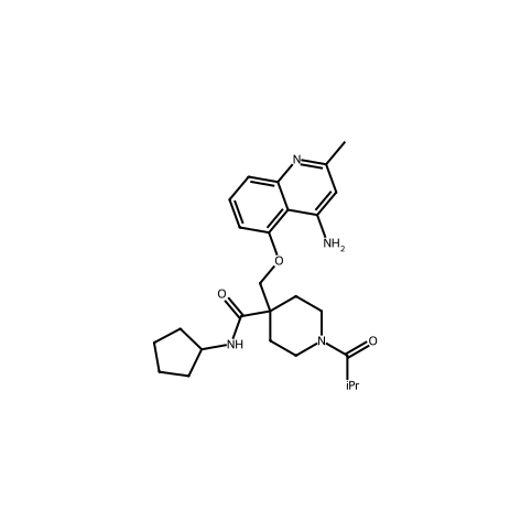 Cc1cc(N)c2c(OCC3(C(=O)NC4CCCC4)CCN(C(=O)C(C)C)CC3)cccc2n1